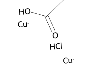 CC(=O)O.Cl.[Cu].[Cu]